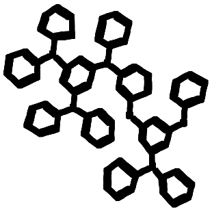 c1ccc(Oc2cc(Oc3cccc(N(c4ccccc4)c4cc(N(c5ccccc5)c5ccccc5)cc(N(c5ccccc5)c5ccccc5)c4)c3)cc(N(c3ccccc3)c3ccccc3)c2)cc1